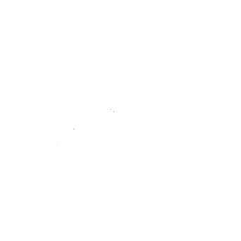 CC(C)(C)OC(=O)NOCC(O)CO